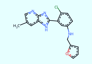 Cc1cnc2nc(-c3cc(NCc4ccco4)ccc3Cl)[nH]c2c1